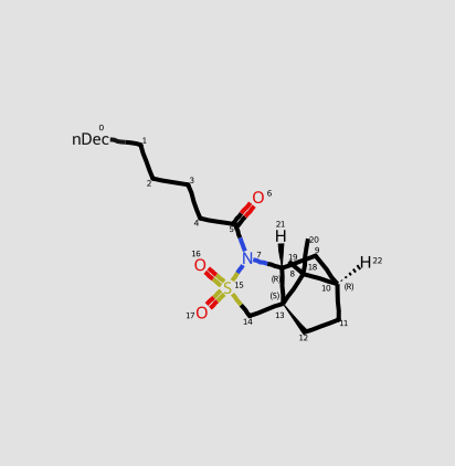 CCCCCCCCCCCCCCC(=O)N1[C@@H]2C[C@H]3CC[C@]2(CS1(=O)=O)C3(C)C